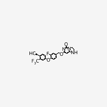 C#Cc1ccc(Oc2ccc(COc3cc4n(c(=O)n3)CCN4)cc2F)cc1C(F)(F)F